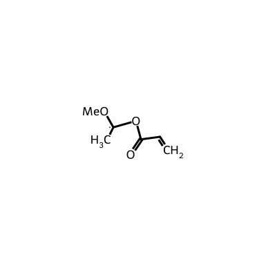 C=CC(=O)O[C](C)OC